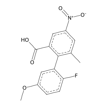 COc1ccc(F)c(-c2c(C)cc([N+](=O)[O-])cc2C(=O)O)c1